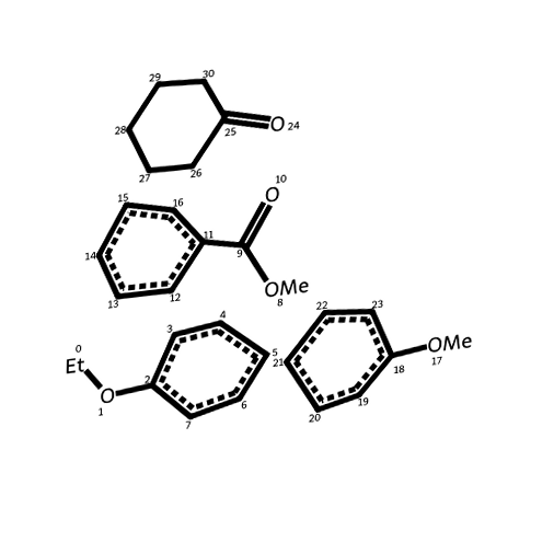 CCOc1ccccc1.COC(=O)c1ccccc1.COc1ccccc1.O=C1CCCCC1